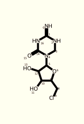 N=C1NCN(C2OC(CCl)C(O)C2O)C(=O)N1